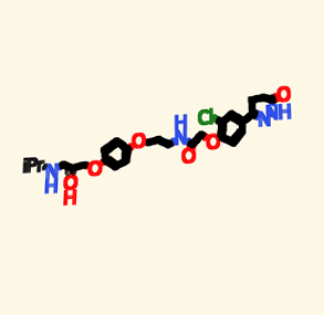 CC(C)NC[C@H](O)COc1ccc(OCCCNC(=O)COc2ccc(C3=NNC(=O)CC3)cc2Cl)cc1